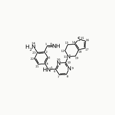 N=Cc1cc(Nc2ccnc(N3CCc4sccc4C3)n2)ccc1N